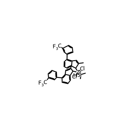 CC1=Cc2c(-c3cccc(C(F)(F)F)c3)cccc2[CH]1[Zr]([Cl])([Cl])([CH]1C(C)=Cc2c(-c3cccc(C(F)(F)F)c3)cccc21)[SiH](C)C